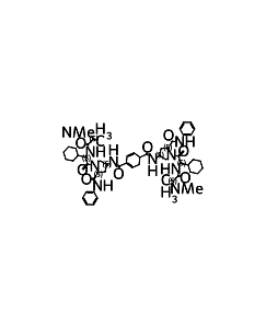 CN[C@@H](C)C(=O)N[C@H](C(=O)N1C[C@@H](NC(=O)C2=CCC(C(=O)N[C@H]3C[C@@H](C(=O)Nc4ccccc4)N(C(=O)[C@@H](NC(=O)[C@H](C)NC)C4CCCCC4)C3)C=C2)C[C@H]1C(=O)Nc1ccccc1)C1CCCCC1